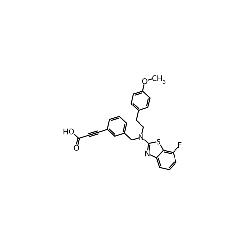 COc1ccc(CCN(Cc2cccc(C#CC(=O)O)c2)c2nc3cccc(F)c3s2)cc1